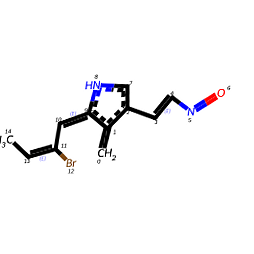 C=c1c(/C=C/N=O)c[nH]/c1=C/C(Br)=C\C